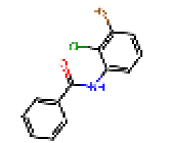 O=C(Nc1cccc(S)c1Cl)c1ccccc1